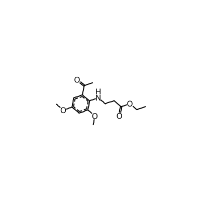 CCOC(=O)CCNc1c(OC)cc(OC)cc1C(C)=O